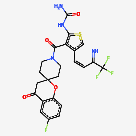 N=C(/C=C\c1csc(NC(N)=O)c1C(=O)N1CCC2(CC1)CC(=O)c1cc(F)ccc1O2)C(F)(F)F